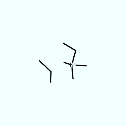 CCC.CC[N+](C)(C)C